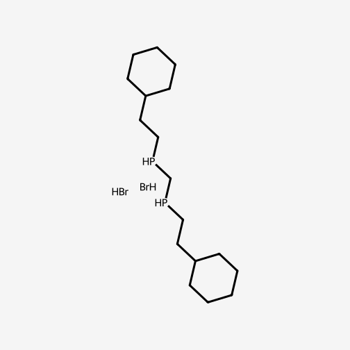 Br.Br.C1CCC(CCPCPCCC2CCCCC2)CC1